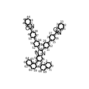 c1ccc2c(-c3cc4nc(-c5ccc(-c6ccc(-c7nc8ccccc8o7)cc6)cc5)c(-c5ccc(-c6ccc(-c7nc8ccccc8o7)cc6)cc5)nc4cc3-c3cccc4ccccc34)cccc2c1